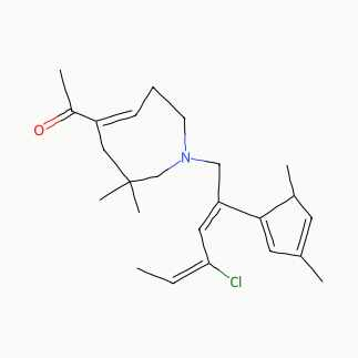 C/C=C(Cl)\C=C(\CN1CC/C=C(\C(C)=O)CC(C)(C)C1)C1=CC(C)=CC1C